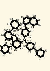 c1ccc(-c2ccc(N(c3ccc(-c4cccc5ccccc45)cc3)c3ccc(-c4ccccc4)c4c3oc3c(-c5ccccc5)cccc34)cc2)cc1